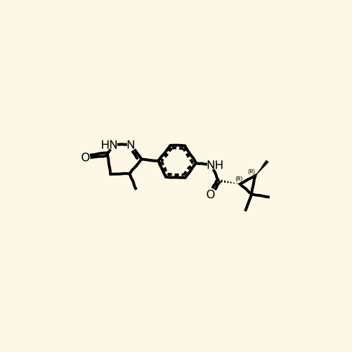 CC1CC(=O)NN=C1c1ccc(NC(=O)[C@@H]2[C@@H](C)C2(C)C)cc1